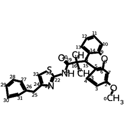 COc1ccc2c(c1)Oc1ccccc1C2C(C)(C)C(=O)Nc1nc(Cc2ccccc2)cs1